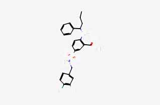 CCCC(Nc1ccc(S(=O)(=O)NCc2ccc(F)c(Cl)c2)cc1C(=O)O)c1ccccc1